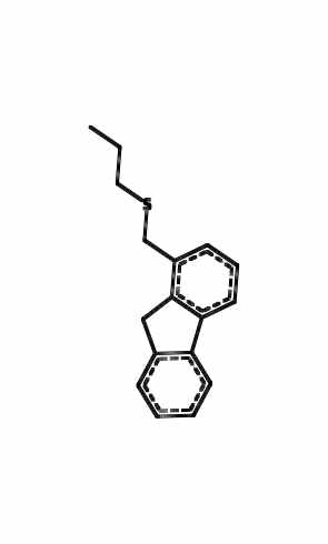 CCCSCc1cccc2c1Cc1ccccc1-2